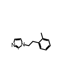 Cc1ccccc1CCn1[c]ncc1